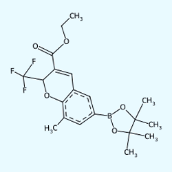 CCOC(=O)C1=Cc2cc(B3OC(C)(C)C(C)(C)O3)cc(C)c2OC1C(F)(F)F